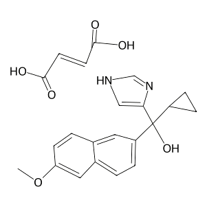 COc1ccc2cc(C(O)(c3c[nH]cn3)C3CC3)ccc2c1.O=C(O)/C=C/C(=O)O